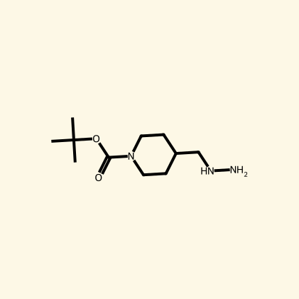 CC(C)(C)OC(=O)N1CCC(CNN)CC1